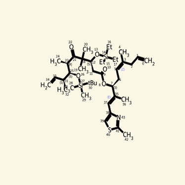 C=CC/C(C)=C\C[C@H](OC(=O)C[C@H](O[Si](CC)(CC)CC)C(C)(C)C(=O)[C@H](C)[C@@H](O[Si](C)(C)C(C)(C)C)[C@@H](C)C=C)/C(C)=C/c1csc(C)n1